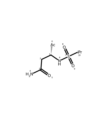 CC(=O)[C@@H](CC(N)=O)NS(=O)(=O)C(C)C